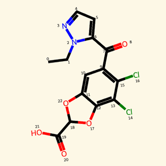 CCn1nccc1C(=O)c1cc2c(c(Cl)c1Cl)OC(C(=O)O)O2